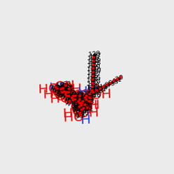 CCCCCCCCCCCCC/C=C/[C@@H](O)[C@H](CO[C@@H]1O[C@H](CO)[C@@H](O[C@@H]2O[C@H](CO)[C@H](O[C@@H]3O[C@H](CO)[C@H](O)[C@H](O[C@@H]4O[C@H](CO)[C@H](O)[C@H](O[C@]5(C(=O)O)C[C@H](O)[C@@H](NC(C)=O)[C@H](C(O)[C@H](O)CO)O5)[C@H]4O)[C@H]3NC(C)=O)[C@H](O[C@]3(C(=O)O)C[C@H](O)[C@@H](NC(C)=O)[C@H](C(O)[C@H](O)CO)O3)[C@H]2O)[C@H](O)[C@H]1O)NC(=O)CCCCCCCCCCCCCCCCCCC